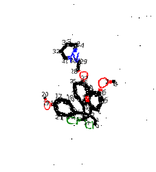 CCC1(c2ccc(OC)cc2)C(Cl)(Cl)C1(c1ccc(OC)cc1)c1ccc(OCCN2CCCC2)cc1